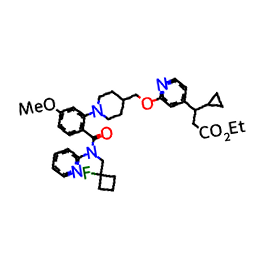 CCOC(=O)CC(c1ccnc(OCC2CCN(c3cc(OC)ccc3C(=O)N(CC3(F)CCC3)c3ccccn3)CC2)c1)C1CC1